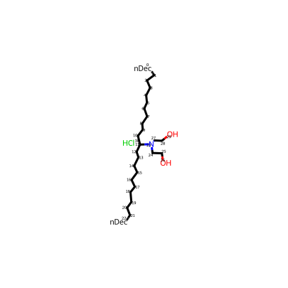 CCCCCCCCCCCCCCCCCCCCC(CCCCCCCCCCCCCCCCCCCC)N(CCO)CCO.Cl